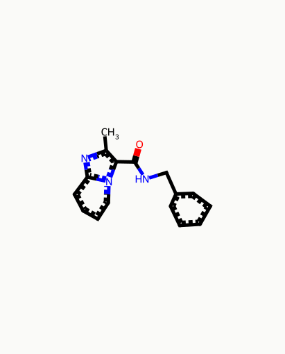 Cc1nc2ccccn2c1C(=O)NCc1ccccc1